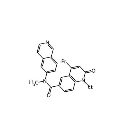 CCn1c(=O)cc(C(C)C)c2cc(C(=O)N(C)c3ccc4cnccc4c3)ccc21